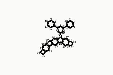 c1ccc(-c2cc(-c3ccccc3)nc(-n3c4cc5c(cc4c4cc6c(cc43)sc3cc4c(cc36)CC4)CC5)n2)cc1